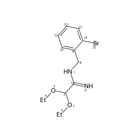 CCOC(OCC)C(=N)NCc1ccccc1Br